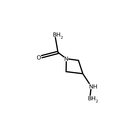 BNC1CN(C(B)=O)C1